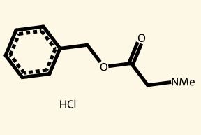 CNCC(=O)OCc1ccccc1.Cl